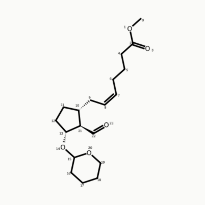 COC(=O)CCC/C=C\C[C@H]1CC[C@@H](OC2CCCCO2)[C@@H]1C=O